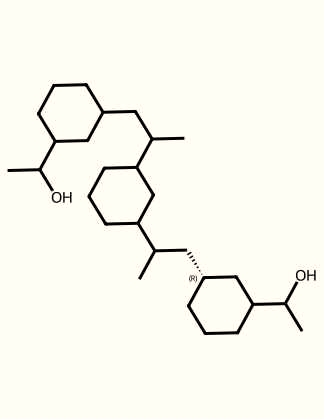 CC(O)C1CCCC(CC(C)C2CCCC(C(C)C[C@H]3CCCC(C(C)O)C3)C2)C1